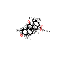 CCCCCCOC(=O)[C@]12CCC(C)(C)CC1C1C(=O)C=C3[C@@]4(C)C=C(C#N)C(=O)[C@@H](C)[C@@H]4CC[C@@]3(C)[C@]1(C)CC2